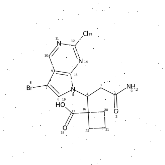 NC(=O)CC(n1cc(Br)c2cnc(Cl)nc21)C1(C(=O)O)CCC1